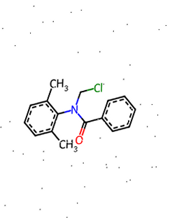 Cc1cccc(C)c1N(CCl)C(=O)c1ccccc1